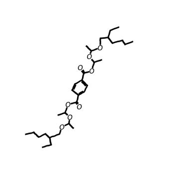 CCCCC(CC)COC(C)OC(C)OC(=O)c1ccc(C(=O)OC(C)OC(C)OCC(CC)CCCC)cc1